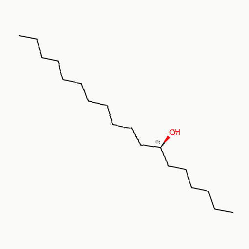 CCCCCCCC[CH]CC[C@@H](O)CCCCCC